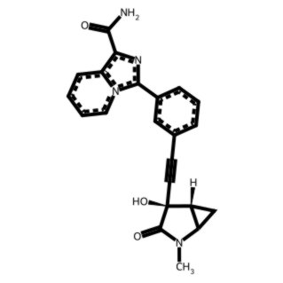 CN1C(=O)[C@](O)(C#Cc2cccc(-c3nc(C(N)=O)c4ccccn34)c2)[C@@H]2CC21